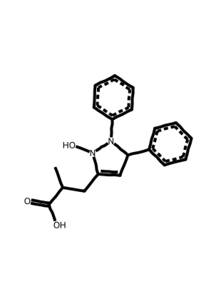 CC(CC1=CC(c2ccccc2)N(c2ccccc2)N1O)C(=O)O